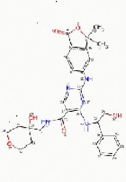 CC1(C)OC(=O)c2ccc(Nc3ncc(C(=O)NCC4(O)CCOCC4)c(NC(CO)c4ccccc4)n3)cc21